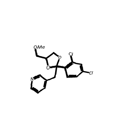 COCC1COC(Cc2cccnc2)(c2ccc(Cl)cc2Cl)O1